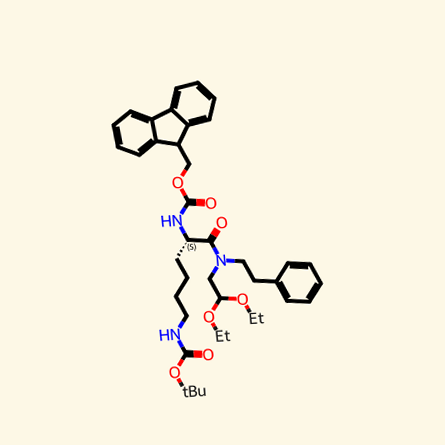 CCOC(CN(CCc1ccccc1)C(=O)[C@H](CCCCNC(=O)OC(C)(C)C)NC(=O)OCC1c2ccccc2-c2ccccc21)OCC